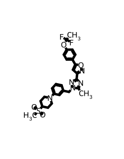 Cc1nc(-c2cc(-c3ccc(OC(C)(F)F)cc3)on2)nn1Cc1cccc(N2CCC(S(C)(=O)=O)CC2)c1